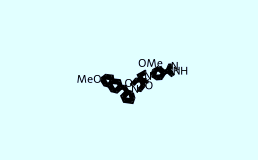 COc1ccc2cc(C(=O)c3ccccc3N3CCC4(CC3)CCN(c3ccc(-c5cn[nH]c5)c(OC)c3)C4=O)ccc2c1